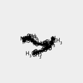 Cc1ncsc1-c1ccc(CNC(=O)[C@@H]2C[C@@H](OC(=O)COCCOCCC(=O)OC(C)(C)C)CN2C(=O)[C@@H](NC(=O)COCCCCOc2ccc(-c3ccc(N4C(=S)N(c5ccc(C#N)c(C(F)(F)F)c5)C(=O)C4(C)C)cc3)cc2)C(C)(C)C)cc1